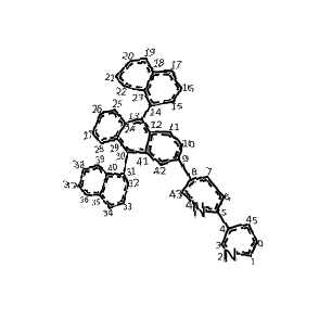 c1cncc(-c2ccc(-c3ccc4c(-c5cccc6ccccc56)c5ccccc5c(-c5cccc6ccccc56)c4c3)cn2)c1